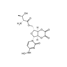 C[C@@H](O)[C@@H](N)C(=O)OC[C@H]1O[C@@H](n2ccc(NO)nc2=O)[C@@H]2OC(=O)C(=O)O[C@@H]21